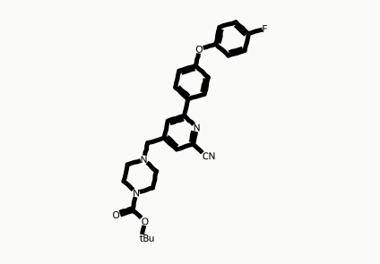 CC(C)(C)OC(=O)N1CCN(Cc2cc(C#N)nc(-c3ccc(Oc4ccc(F)cc4)cc3)c2)CC1